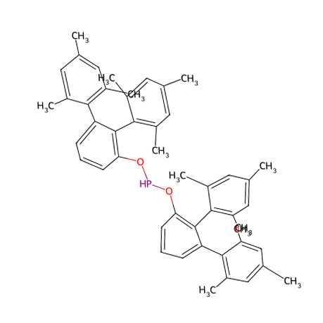 Cc1cc(C)c(-c2cccc(OPOc3cccc(-c4c(C)cc(C)cc4C)c3-c3c(C)cc(C)cc3C)c2-c2c(C)cc(C)cc2C)c(C)c1